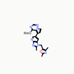 COc1ncnn2ccc(-c3cnc4nc(C)n(Cc5oc(C)nc5C)c4c3)c12